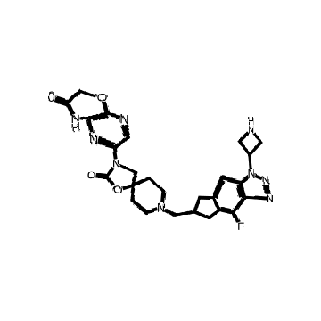 O=C1COc2ncc(N3CC4(CCN(CC5Cc6cc7c(nnn7C7CNC7)c(F)c6C5)CC4)OC3=O)nc2N1